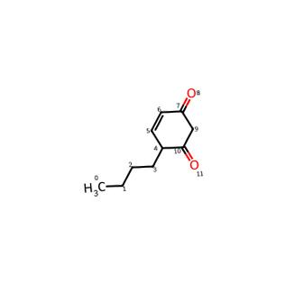 CCCCC1C=CC(=O)CC1=O